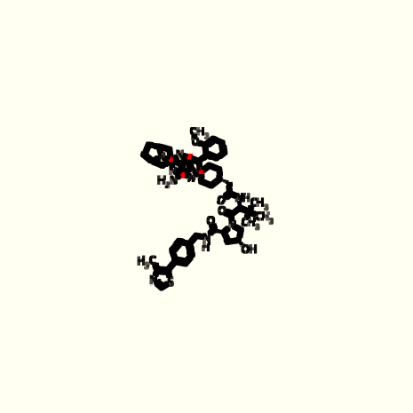 COc1ccccc1-c1cc(N2CC3CCC(C2)N3c2ncc([C@H]3CC[C@@H](CC(=O)N[C@H](C(=O)N4C[C@H](O)C[C@H]4C(=O)NCc4ccc(-c5scnc5C)cc4)C(C)(C)C)CC3)cn2)c(N)nn1